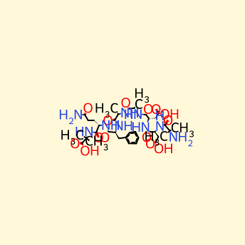 C[C@H](NC(=O)[C@H](C)NC(=O)[C@H](CC(=O)O)NC(=O)[C@H](CC(=O)O)NC(=O)C(C)(C)N)C(=O)N[C@@H](Cc1ccccc1)C(=O)N[C@@H](CCC(N)=O)C(=O)NC(C)(C)C(=O)O